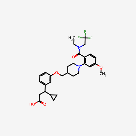 CCN(CC(F)(F)F)C(=O)c1ccc(OC)cc1N1CCC(COc2cccc(C(CC(=O)O)C3CC3)c2)CC1